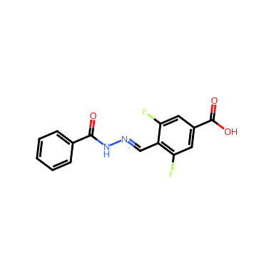 O=C(O)c1cc(F)c(/C=N/NC(=O)c2ccccc2)c(F)c1